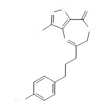 COc1ccc(CCCC2=Nc3c(C(C)C)n[nH]c3C(=O)NC2)cc1